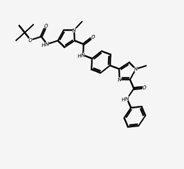 Cn1cc(NC(=O)OC(C)(C)C)cc1C(=O)Nc1ccc(-c2cn(C)c(C(=O)Nc3ccccc3)n2)cc1